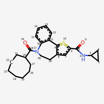 O=C(NC1CC1)c1cc2c(s1)-c1ccccc1N(C(=O)C1CCCCCCC1)CC2